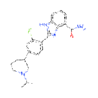 CC(C)N1CCCC(c2ccc(-c3nc4c(C(N)=O)cccc4[nH]3)c(F)c2)C1